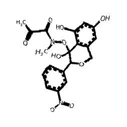 CC(=O)C(=O)N(C)OC1(O)c2c(O)cc(O)cc2COC1c1cccc([N+](=O)[O-])c1